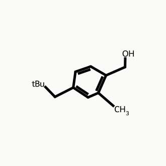 Cc1cc(CC(C)(C)C)ccc1CO